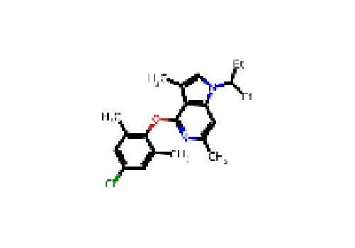 CCC(CC)n1cc(C)c2c(Oc3c(C)cc(Cl)cc3C)nc(C)cc21